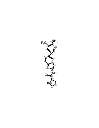 Nc1ncc(-c2ccc3nc(NC(=O)C4CCCN4)cn3c2)cc1C(F)(F)F